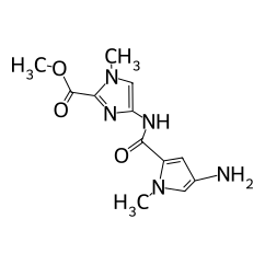 COC(=O)c1nc(NC(=O)c2cc(N)cn2C)cn1C